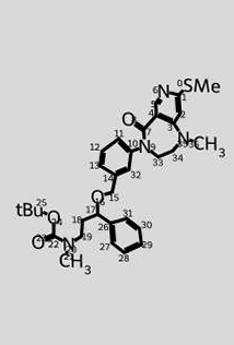 CSc1cc2c(cn1)C(=O)N(c1cccc(COC(CCN(C)C(=O)OC(C)(C)C)c3ccccc3)c1)CCN2C